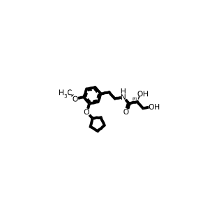 COc1ccc(CCNC(=O)[C@H](O)CO)cc1OC1CCCC1